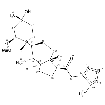 CC[C@H]1C[C@](C)(O)CC[C@]1(COC)[C@H]1CC[C@]2(C)[C@@H](C(=O)Cn3nnnc3C)CC[C@H]2[C@@H]1C